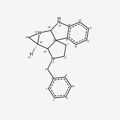 c1ccc(CN2CCC34c5ccccc5NC3N3C[C@@H]3C24)cc1